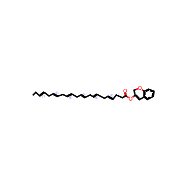 CC/C=C/C/C=C/C/C=C/C/C=C/C/C=C/C/C=C/CCC(=O)OC1=Cc2ccccc2OC1